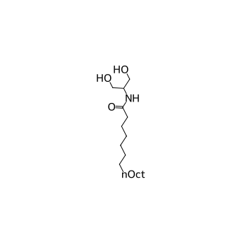 CCCCCCCCCCCCCCC(=O)NC(CO)CO